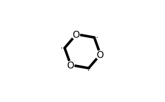 [CH]1O[CH]O[CH]O1